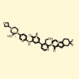 Cn1cc(-c2ccnc(-n3ccn4c5c(cc4c3=O)CC(F)(F)CC5)c2CO)cc(Nc2ccc(N3CCN(C4COC4)C[C@]3(C)O)cn2)c1=O